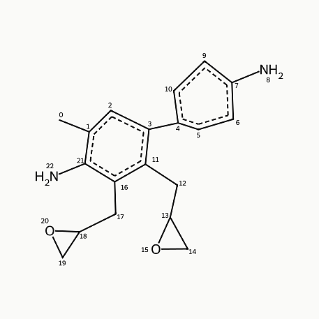 Cc1cc(-c2ccc(N)cc2)c(CC2CO2)c(CC2CO2)c1N